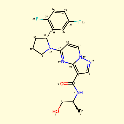 CC(C)[C@@H](CO)NC(=O)c1cnn2ccc(N3CCC[C@@H]3c3cc(F)ccc3F)nc12